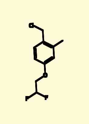 Cc1cc(OCC(F)F)ccc1CCl